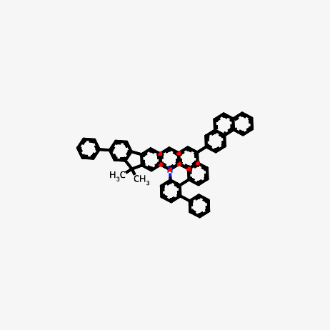 CC1(C)c2cc(-c3ccccc3)ccc2-c2ccc(N(c3ccc(-c4ccc5c(ccc6ccccc65)c4)cc3)c3cccc(-c4ccccc4)c3-c3ccccc3-c3ccccc3)cc21